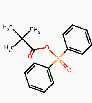 CC(C)(C)C(=O)OP(=O)(c1ccccc1)c1ccccc1